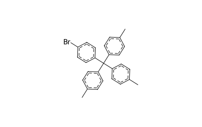 Cc1ccc(C(c2ccc(C)cc2)(c2ccc(C)cc2)c2ccc(Br)cc2)cc1